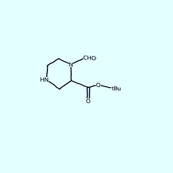 CC(C)(C)OC(=O)C1CNCCN1[C]=O